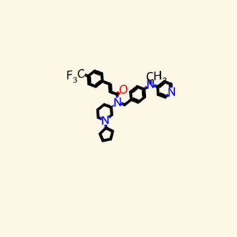 CN(c1ccncc1)c1ccc(CN(C(=O)C=Cc2ccc(C(F)(F)F)cc2)[C@H]2CCCN(C3CCCC3)C2)cc1